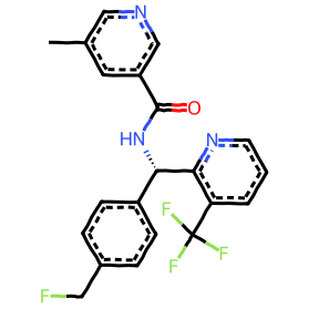 Cc1cncc(C(=O)N[C@@H](c2ccc(CF)cc2)c2ncccc2C(F)(F)F)c1